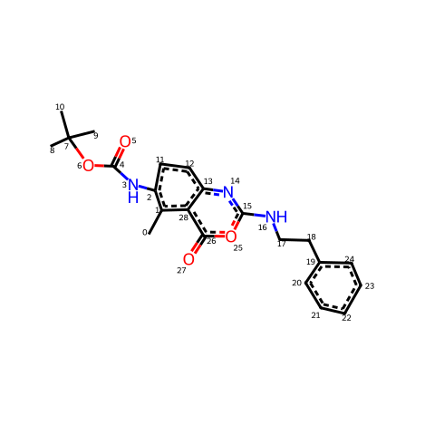 Cc1c(NC(=O)OC(C)(C)C)ccc2nc(NCCc3ccccc3)oc(=O)c12